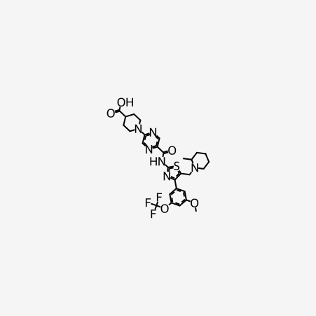 COc1cc(OC(F)(F)F)cc(-c2nc(NC(=O)c3cnc(N4CCC(C(=O)O)CC4)cn3)sc2CN2CCCCC2C)c1